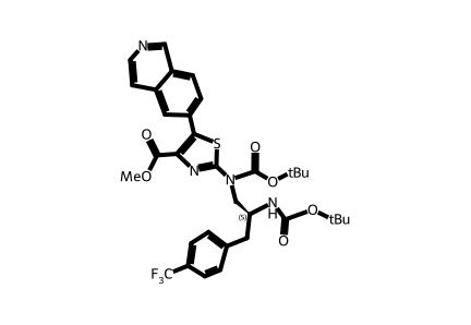 COC(=O)c1nc(N(C[C@H](Cc2ccc(C(F)(F)F)cc2)NC(=O)OC(C)(C)C)C(=O)OC(C)(C)C)sc1-c1ccc2cnccc2c1